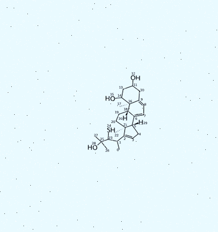 CC(C1=CC[C@H]2C3=CC=C4CC(O)CC(O)[C@]4(C)[C@H]3CC[C@]12C)C(S)C(C)(C)O